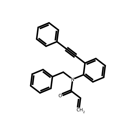 C=CC(=O)N(Cc1ccccc1)c1ccccc1C#Cc1ccccc1